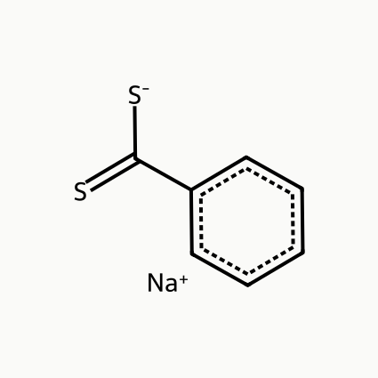 S=C([S-])c1ccccc1.[Na+]